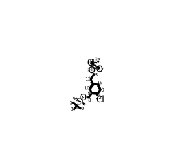 CC(C)(C)[Si](C)(C)OCc1cc(CCOS(C)(=O)=O)ccc1Cl